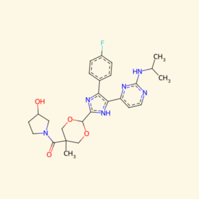 CC(C)Nc1nccc(-c2[nH]c(C3OCC(C)(C(=O)N4CCC(O)C4)CO3)nc2-c2ccc(F)cc2)n1